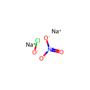 O=[N+]([O-])[O-].[Na+].[Na+].[O-]Cl